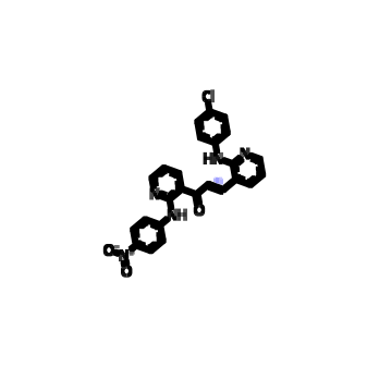 O=C(/C=C/c1cccnc1Nc1ccc(Cl)cc1)c1cccnc1Nc1ccc([N+](=O)[O-])cc1